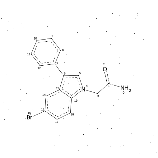 NC(=O)Cn1cc(-c2ccccc2)c2cc(Br)ccc21